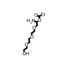 CCC(=O)OC(N)COCCOCCOCCO